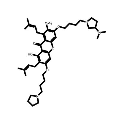 COc1c(OCCCCN2CCC(N(C)C)C2)cc2oc3cc(OCCCCN4CCCC4)c(CC=C(C)C)c(O)c3c(=O)c2c1CC=C(C)C